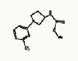 CC(C)(C)OC(=O)NC1CCN(c2cccc(C(F)(F)F)n2)C1